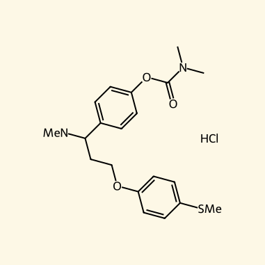 CNC(CCOc1ccc(SC)cc1)c1ccc(OC(=O)N(C)C)cc1.Cl